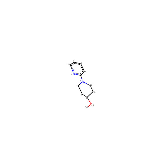 COC1CCN(c2cc[c]cn2)CC1